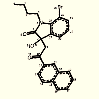 CCCCN1C(=O)C(O)(CC(=O)c2ccc3ccccc3c2)c2cccc(Br)c21